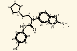 Nc1nc2ccc(N(CCN3CCCC3)C(=O)Nc3ccc(Cl)cc3)cc2s1